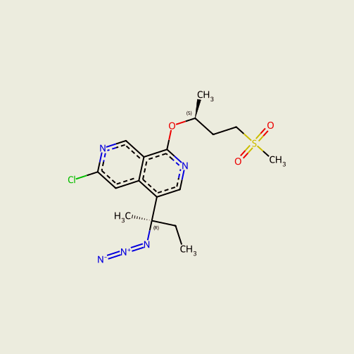 CC[C@@](C)(N=[N+]=[N-])c1cnc(O[C@@H](C)CCS(C)(=O)=O)c2cnc(Cl)cc12